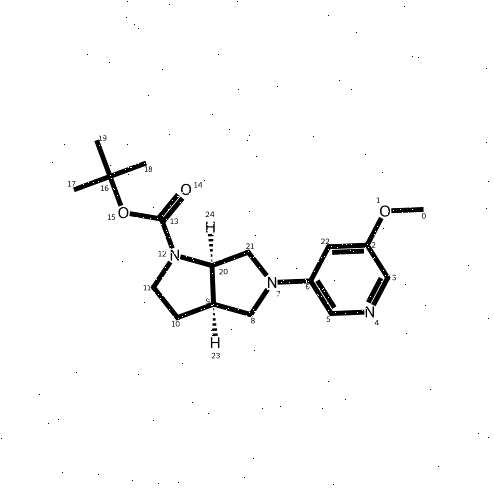 COc1cncc(N2C[C@H]3CCN(C(=O)OC(C)(C)C)[C@H]3C2)c1